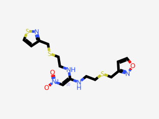 O=[N+]([O-])/C=C(/NCCSCc1ccon1)NCCSCc1ccsn1